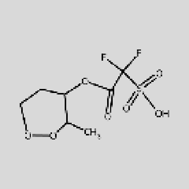 CC1OOCCC1OC(=O)C(F)(F)S(=O)(=O)O